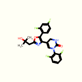 CC(C)(O)Cc1nc(C2=CN(c3c(F)cccc3F)C(=O)NC2)c(-c2ccc(F)cc2F)o1